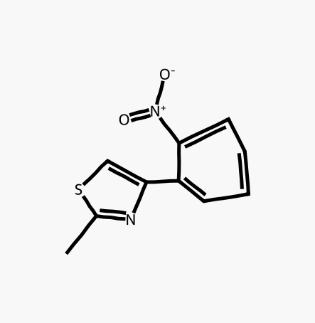 Cc1nc(-c2ccccc2[N+](=O)[O-])cs1